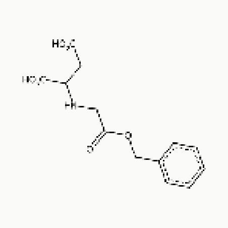 O=C(O)CC(NCC(=O)OCc1ccccc1)C(=O)O